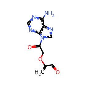 C=C(C=O)OCC(=O)n1cnc2c(N)ncnc21